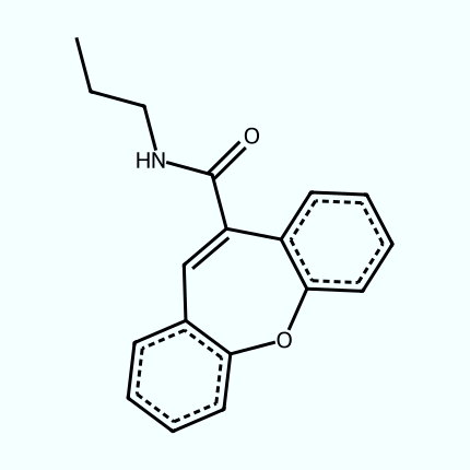 CCCNC(=O)C1=Cc2ccccc2Oc2ccccc21